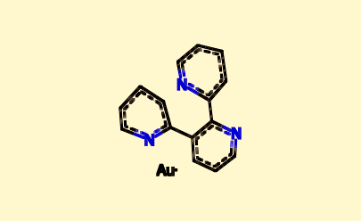 [Au].c1ccc(-c2cccnc2-c2ccccn2)nc1